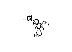 C[C@@H](c1ccc(-n2cc(F)cn2)nc1)N1CCC2(CCNCC2)C1=O